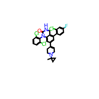 CC1(N2CC=C(c3cc(-c4ccc(F)cc4Cl)c4c(c3)N(c3c(Cl)cccc3Cl)C(=O)NC4)CC2)CC1